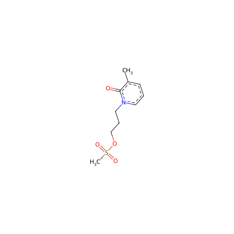 Cc1cccn(CCCOS(C)(=O)=O)c1=O